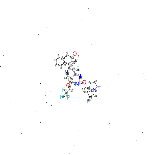 COc1cc2ccccc2c(-c2ncc3c(OCC(F)(F)F)nc(OC[C@@]45CCCN4C[C@H](F)C5)nc3c2F)c1C